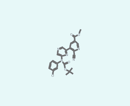 COC(=O)c1cnc(C#N)c(-c2cncc(N(C(=O)OC(C)(C)C)c3cccc(Cl)c3)n2)c1